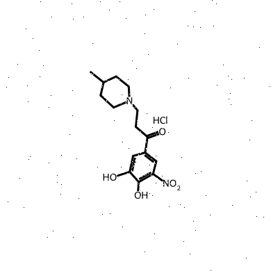 CC1CCN(CCC(=O)c2cc(O)c(O)c([N+](=O)[O-])c2)CC1.Cl